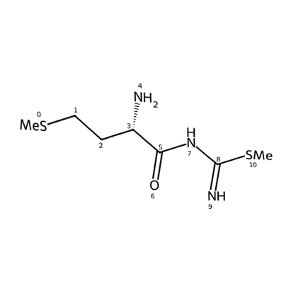 CSCC[C@H](N)C(=O)NC(=N)SC